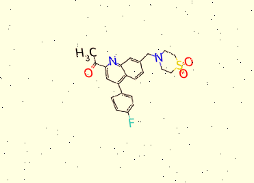 CC(=O)c1cc(-c2ccc(F)cc2)c2ccc(CN3CCS(=O)(=O)CC3)cc2n1